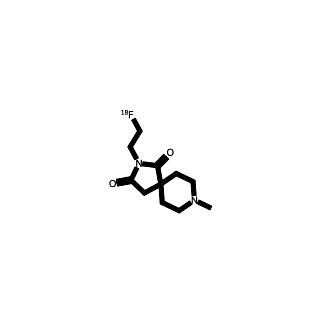 CN1CCC2(CC1)CC(=O)N(CC[18F])C2=O